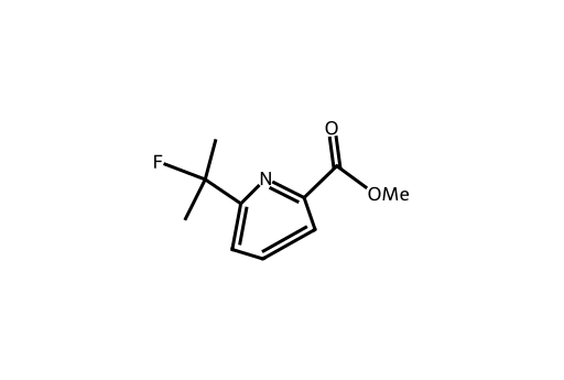 COC(=O)c1cccc(C(C)(C)F)n1